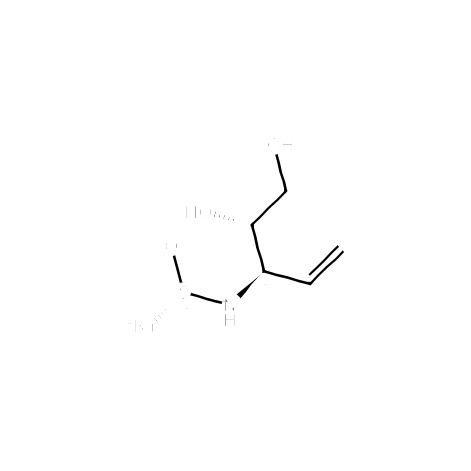 C=C[C@@H](N[S@@+]([O-])C(C)(C)C)[C@H](O)CO